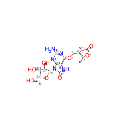 Cc1oc(=O)oc1COc1nc(N)nc2c1[nH]c(=O)n2[C@@H]1O[C@H](CO)[C@@H](O)[C@H]1O